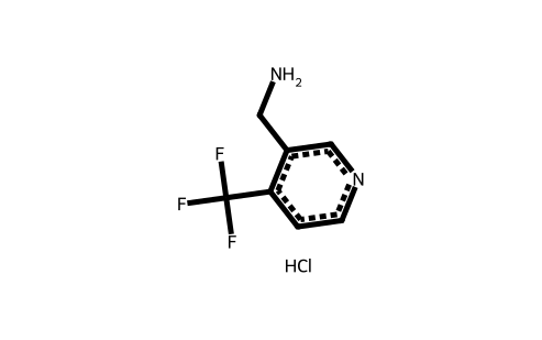 Cl.NCc1cnccc1C(F)(F)F